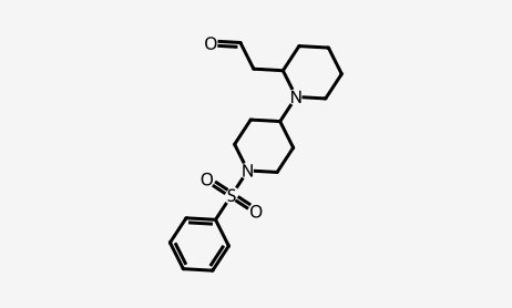 O=CCC1CCCCN1C1CCN(S(=O)(=O)c2ccccc2)CC1